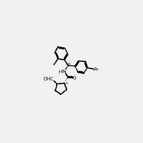 Cc1ccccc1[C@H](NC(=O)[C@@H]1CCCC1C=O)c1ccc(C(C)C)cc1